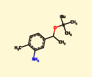 Cc1ccc(C(C)O[Si](C)(C)C(C)(C)C)cc1N